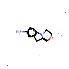 Nc1ccc2c(c1)CC1=COCCN12